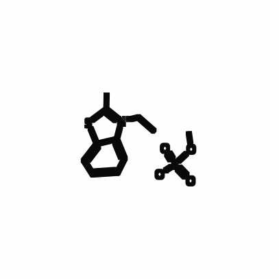 CC[n+]1c(C)sc2ccccc21.COS(=O)(=O)[O-]